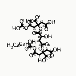 O=C(O)CC(CC(=O)OC(=O)O)(OC(=O)CC(O)C(=O)OC(CC(=O)O)(CC(=O)OC(=O)O)C(=O)O)C(=O)O.[CaH2].[CaH2]